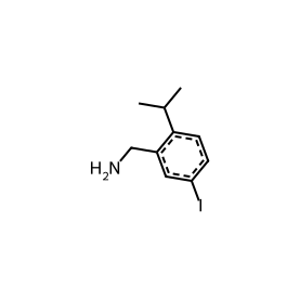 CC(C)c1ccc(I)cc1CN